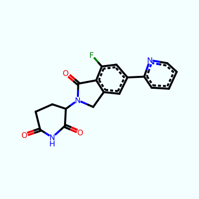 O=C1CCC(N2Cc3cc(-c4ccccn4)cc(F)c3C2=O)C(=O)N1